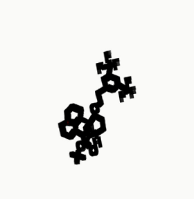 CC(c1ccccc1)N1[C@@H]2CC[C@H](OCCc3cc(C(F)(F)F)cc(C(F)(F)F)c3)[C@@]1(c1ccccc1)C[C@@H]2C(=O)OC(C)(C)C